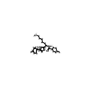 CC(=O)CCCCCC(NC(=O)C1CCN(C)CC1)c1ncc(-c2ccc(F)cc2)[nH]1